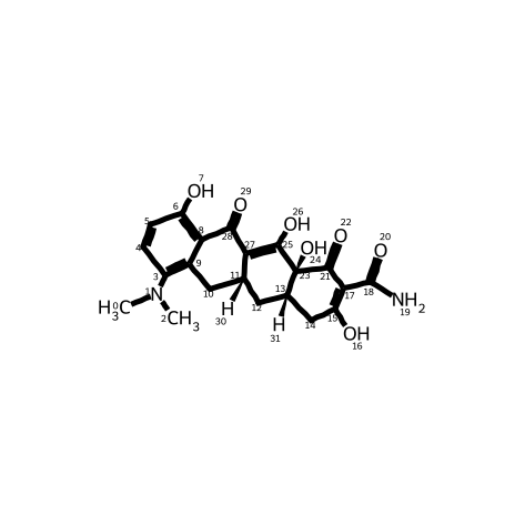 CN(C)c1ccc(O)c2c1C[C@H]1C[C@H]3CC(O)=C(C(N)=O)C(=O)[C@@]3(O)C(O)=C1C2=O